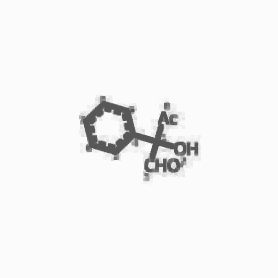 CC(=O)C(O)([C]=O)c1ccccc1